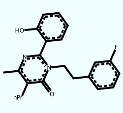 CCCc1c(C)nc(-c2ccccc2O)n(CCc2cccc(F)c2)c1=O